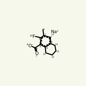 Cc1cc2c(c(C(=O)[O-])c1F)CCCC2.[Na+]